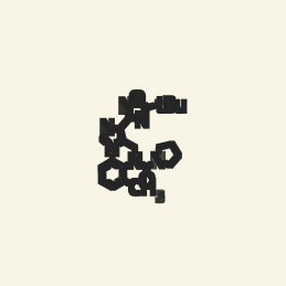 Cc1cccc2c1N(C(=O)N1CCCC1)Cc1c(-c3noc(C(C)(C)C)n3)ncn1-2